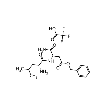 CC(C)C[C@@H](N)C(=O)N[C@H](CC(=O)OCc1ccccc1)C(N)=O.O=C(O)C(F)(F)F